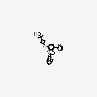 CC(C)(O)C1CC(Oc2ccc(-c3nccs3)c3oc(N4CC5CC(C4)N5)nc23)C1